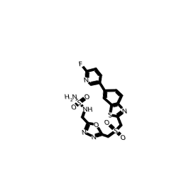 NS(=O)(=O)NCc1nnc(CS(=O)(=O)Cc2nc3ccc(-c4ccc(F)nc4)cc3s2)o1